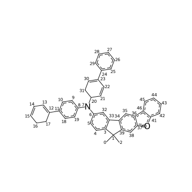 CC1(C)c2ccc(N(c3ccc(C4=CC=CCC4)cc3)C3C=CC(c4ccccc4)=CC3)cc2-c2cc3c(cc21)oc1ccccc13